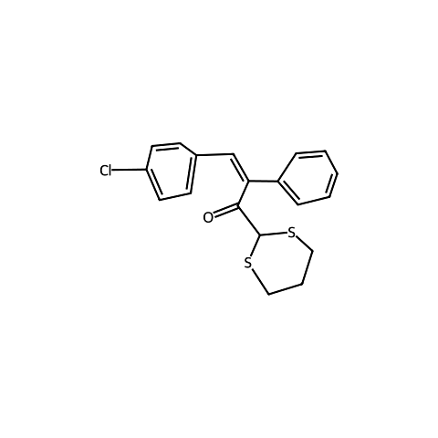 O=C(C(=Cc1ccc(Cl)cc1)c1ccccc1)C1SCCCS1